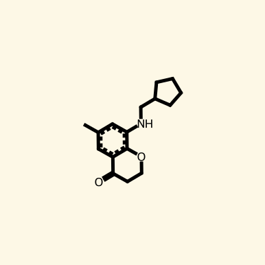 Cc1cc(NCC2CCCC2)c2c(c1)C(=O)CCO2